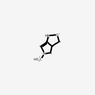 O=C(O)N1C=C2NOCC2C1